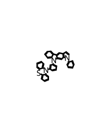 c1ccc(-n2ccc3cc4c5ccccc5n(-c5cccc(N6c7ccccc7Sc7ccccc76)c5)c4cc32)cc1